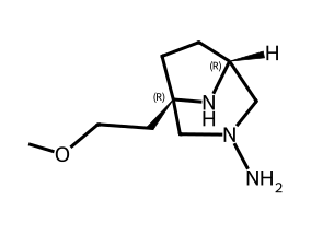 COCC[C@]12CC[C@H](CN(N)C1)N2